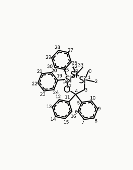 C[Si]1(C)CC(c2ccccc2)(c2ccccc2)O[Si](c2ccccc2)(c2ccccc2)[Si]1(C)C